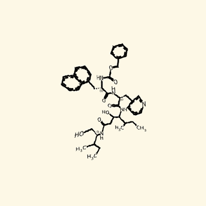 CCC(C)C(NC(=O)[C@H](Cc1cccnc1)NC(=O)[C@H](Cc1cccc2ccccc12)NC(=O)OCc1ccccc1)C(O)CC(=O)N[C@H](CO)C(C)CC